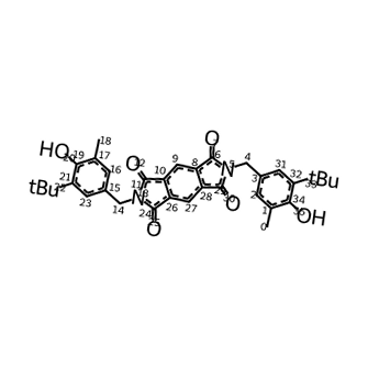 Cc1cc(Cn2c(=O)c3cc4c(=O)n(Cc5cc(C)c(O)c(C(C)(C)C)c5)c(=O)c4cc3c2=O)cc(C(C)(C)C)c1O